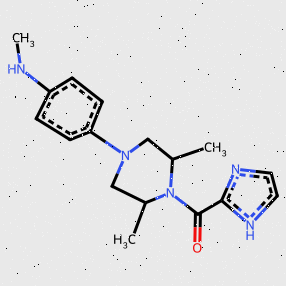 CNc1ccc(N2CC(C)N(C(=O)c3ncc[nH]3)C(C)C2)cc1